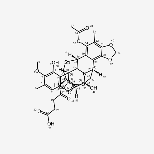 COc1c(C)cc2c(c1O)[C@@H]1C3[C@@H]4SC[C@H](NC(=O)CCC(=O)O)C(=O)OC[C@@H](c5c6c(c(C)c(OC(C)=O)c54)OCO6)N3[C@@H](O)[C@H](C2)N1C